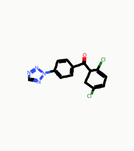 O=C(c1ccc(-n2ncnn2)cc1)C1CC(Cl)=CC=C1Cl